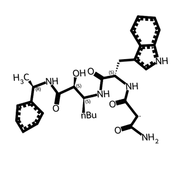 CCCC[C@H](NC(=O)[C@H](Cc1c[nH]c2ccccc12)NC(=O)[CH]C(N)=O)[C@H](O)C(=O)N[C@H](C)c1ccccc1